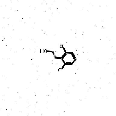 OCCc1c(Cl)[c]ccc1Cl